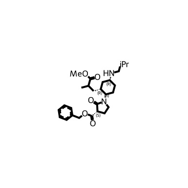 COC(=O)C(C)C[C@@H]1C[C@H](NCC(C)C)CC[C@@H]1N1CC[C@H](C(=O)OCc2ccccc2)C1=O